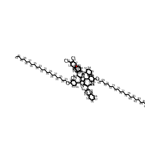 [C-]#[N+]/C(c1cnc2cc(Cl)c(Cl)cc2n1)=c1\c2c(-c3ccc(OCCCCCCCCCCCCCCCCCCCC)cc3)n(C)/c(=C(/C#N)c3cnc4ccccc4n3)c2c(-c2ccc(OCCCCCCCCCCCCCCCCCCCC)cc2)n1B(c1ccccc1)c1ccccc1